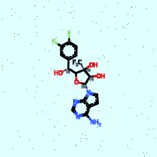 Nc1ncnc2c1ccn2[C@@H]1OC([C@H](O)c2ccc(F)c(F)c2)[C@](O)(C(F)(F)F)[C@H]1O